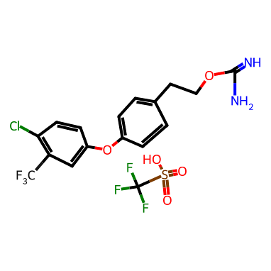 N=C(N)OCCc1ccc(Oc2ccc(Cl)c(C(F)(F)F)c2)cc1.O=S(=O)(O)C(F)(F)F